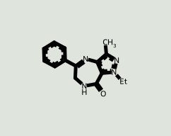 CCn1nc(C)c2c1C(=O)NCC(c1ccccc1)=N2